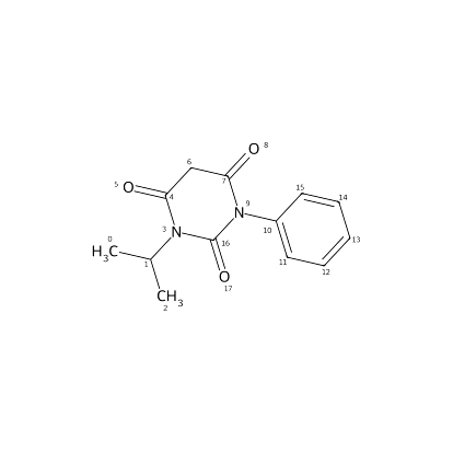 CC(C)N1C(=O)CC(=O)N(c2ccccc2)C1=O